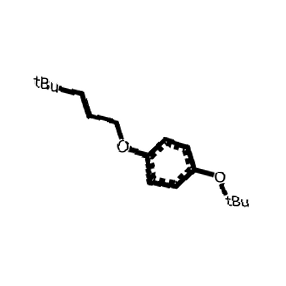 CC(C)(C)CCCOc1ccc(OC(C)(C)C)cc1